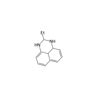 CCC1NC2=CC=CC3=CC=CC(N1)C32